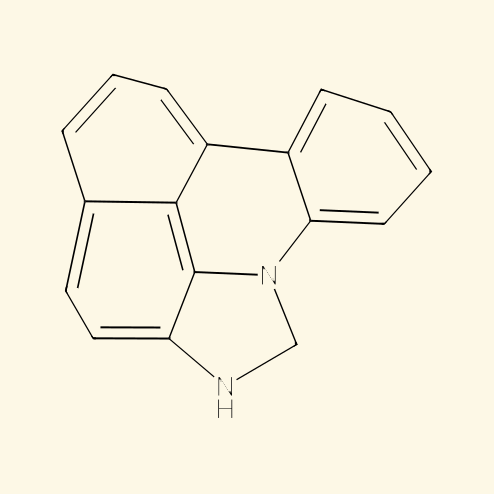 c1ccc2c(c1)-c1cccc3ccc4c(c13)N2CN4